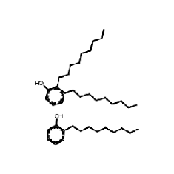 CCCCCCCCCc1cccc(O)c1CCCCCCCCC.CCCCCCCCCc1ccccc1O